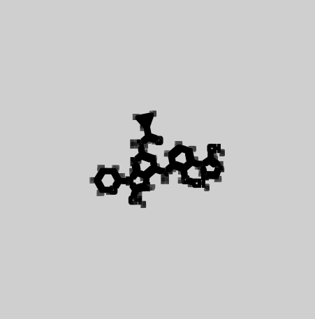 COc1c(Nc2cc(NC(=O)C3CC3)nc3c2nc(C)n3C2CCCCO2)cccc1-n1ncnc1C